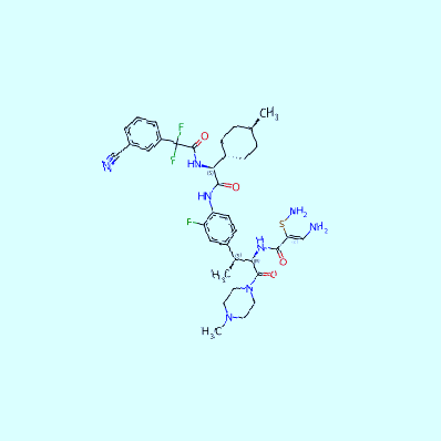 C[C@@H](c1ccc(NC(=O)[C@@H](NC(=O)C(F)(F)c2cccc(C#N)c2)[C@H]2CC[C@H](C)CC2)c(F)c1)[C@@H](NC(=O)/C(=C/N)SN)C(=O)N1CCN(C)CC1